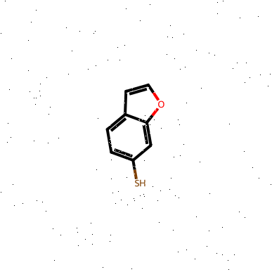 Sc1ccc2ccoc2c1